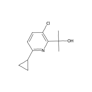 CC(C)(O)c1nc(C2CC2)ccc1Cl